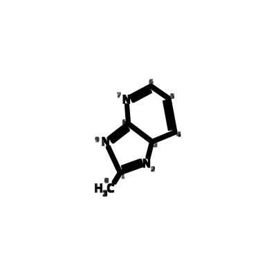 CC1=NC2C=CC=NC2=N1